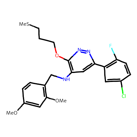 COc1ccc(CNc2cc(-c3cc(Cl)ccc3F)nnc2OCCCSC)c(OC)c1